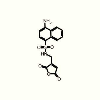 Nc1ccc(S(=O)(=O)NCC2=CC(=O)OC2=O)c2ccccc12